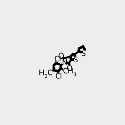 Cc1cc(C)c(N2C(=O)c3cc(-c4cccs4)sc3C2=O)c(C)c1Cl